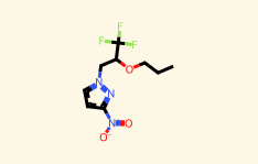 CCCOC(Cn1ccc([N+](=O)[O-])n1)C(F)(F)F